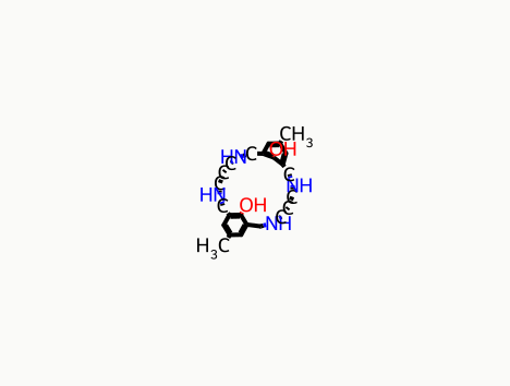 Cc1cc2c(O)c(c1)CNCCCNCc1cc(C)cc(c1O)CNCCCNC2